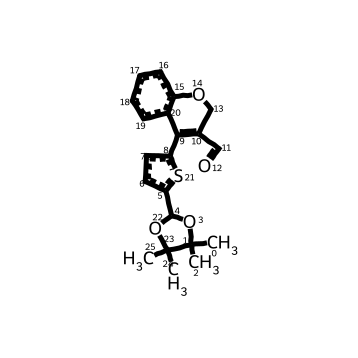 CC1(C)OC(c2ccc(C3=C(C=O)COc4ccccc43)s2)OC1(C)C